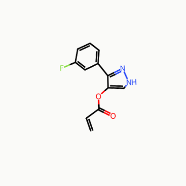 C=CC(=O)Oc1c[nH]nc1-c1cccc(F)c1